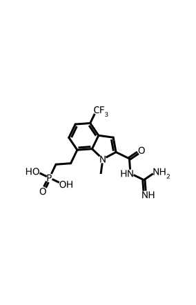 Cn1c(C(=O)NC(=N)N)cc2c(C(F)(F)F)ccc(CCP(=O)(O)O)c21